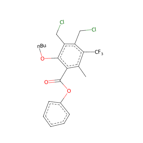 CCCCOc1c(CCl)c(CCl)c(C(F)(F)F)c(C)c1C(=O)Oc1ccccc1